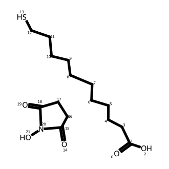 O=C(O)CCCCCCCCCCS.O=C1CCC(=O)N1O